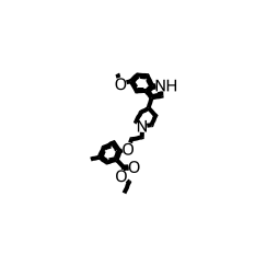 CCOC(=O)c1cc(C)ccc1OCCN1CCC(c2c[nH]c3ccc(OC)cc23)CC1